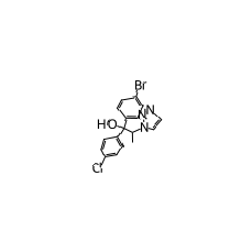 CC(n1ccnn1)C(O)(c1ccc(Cl)cc1)c1ccc(Br)cc1